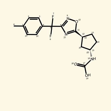 Cc1ccc(C(F)(F)c2noc([C@H]3CC[C@H](NC(=O)O)C3)n2)cc1